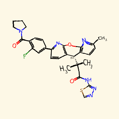 Cc1ccc2c(n1)Oc1nc(-c3ccc(C(=O)N4CCCC4)c(F)c3)ccc1[C@H]2C(C)(C)C(=O)Nc1nncs1